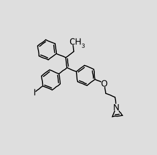 CCC(=C(c1ccc(I)cc1)c1ccc(OCCN2C=C2)cc1)c1ccccc1